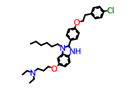 CCCCCCN1c2cc(OCCCN(CC)CC)ccc2NC1c1ccc(OCCc2ccc(Cl)cc2)cc1